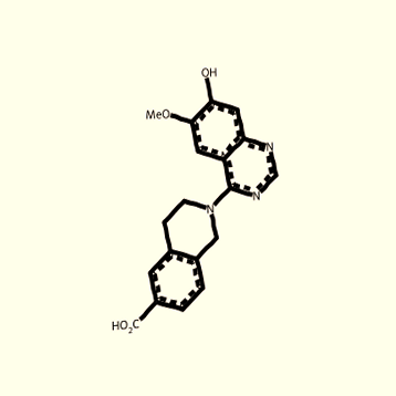 COc1cc2c(N3CCc4cc(C(=O)O)ccc4C3)ncnc2cc1O